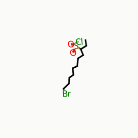 CCC(CCCCCCCCBr)S(=O)(=O)Cl